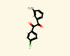 O=C(C(=O)c1cccc([N+](=O)[O-])c1)c1ccc(Cl)cc1